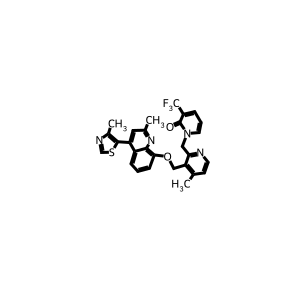 Cc1cc(-c2scnc2C)c2cccc(OCc3c(C)ccnc3Cn3cccc(C(F)(F)F)c3=O)c2n1